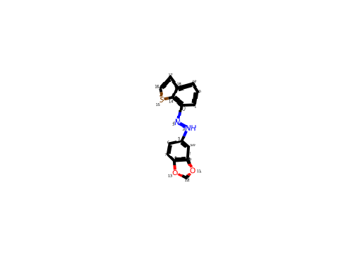 c1cc([N]Nc2ccc3c(c2)OCO3)c2sccc2c1